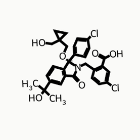 CC(C)(O)c1ccc2c(c1)C(=O)N(Cc1ccc(Cl)cc1C(=O)O)[C@@]2(OCC1(CO)CC1)c1ccc(Cl)cc1